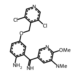 CNc1cc(C(=N)c2cc(OCc3c(Cl)cncc3Cl)ccc2N)cnc1OC